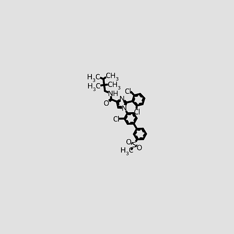 CC(C)C(C)(C)CNC(=O)c1cn(-c2ccc(-c3cccc(S(C)(=O)=O)c3)cc2Cl)c(-c2c(Cl)cccc2Cl)n1